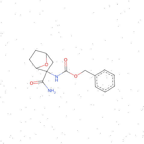 NC(=O)C1(NC(=O)OCc2ccccc2)CC2CCC1O2